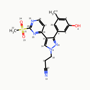 Cc1cc(O)cc(-c2nn(CCC#N)cc2-c2ccnc(S(C)(=O)=O)n2)c1